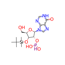 CC(C)(C)[Si](C)(C)OC1[C@@H](O[PH](=O)O)[C@H](n2cnc3c(=O)[nH]cnc32)O[C@@H]1CO